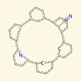 N#Cc1c2cccc1c1cccc(c1)c1cccc(c1)c1cccc(n1)c1cccc(c1)c1cccc2c1